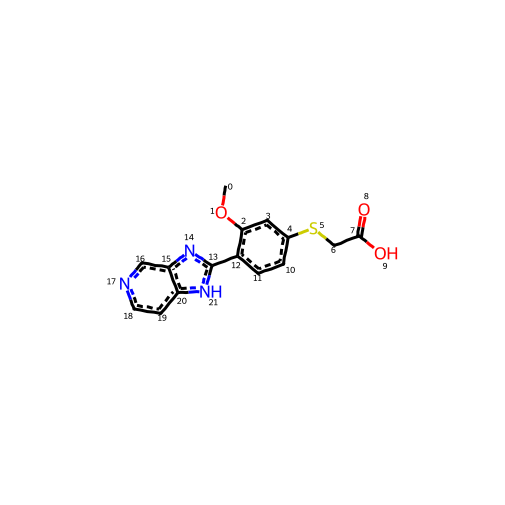 COc1cc(SCC(=O)O)ccc1-c1nc2cnccc2[nH]1